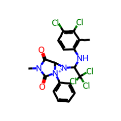 Cc1c(NC(N2C3C(=O)N(C)C(=O)[N+]32c2ccccc2)C(Cl)(Cl)Cl)ccc(Cl)c1Cl